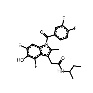 CCC(C)NC(=O)Cc1c(C)n(C(=O)c2ccc(F)c(F)c2)c2cc(F)c(O)c(F)c12